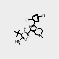 CNC(=O)[C@@H](NC(=O)c1nc(-c2cc(Cl)ccc2Cl)n2c1CN(C)CC2)C(C)(C)C